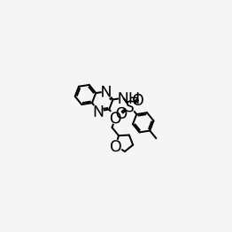 Cc1ccc(S(=O)(=O)Nc2nc3ccccc3nc2OCC2CCCO2)cc1